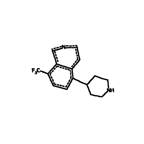 FC(F)(F)c1ccc(C2CCNCC2)c2ccncc12